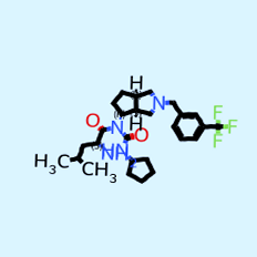 CC(C)C[C@H](N)C(=O)N(C(=O)NC1CCCC1)[C@@H]1CC[C@H]2CN(Cc3cccc(C(F)(F)F)c3)C[C@H]21